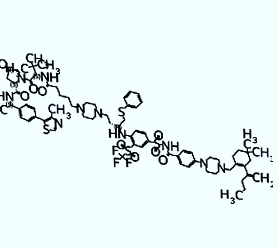 C=C(CCC)C1=C(CN2CCN(c3ccc(C(=O)NS(=O)(=O)c4ccc(N[C@H](CCN5CCN(CCCCC(=O)N[C@H](C(=O)N6C[C@H](O)C[C@H]6C(=O)N[C@@H](C)c6ccc(-c7scnc7C)cc6)C(C)(C)C)CC5)CSc5ccccc5)c(S(=O)(=O)C(F)(F)F)c4)cc3)CC2)CCC(C)(C)C1